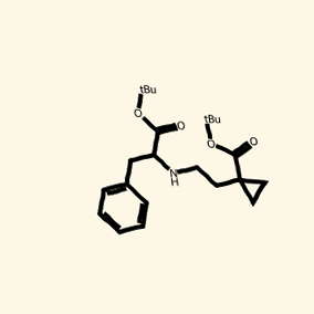 CC(C)(C)OC(=O)C(Cc1ccccc1)NCCC1(C(=O)OC(C)(C)C)CC1